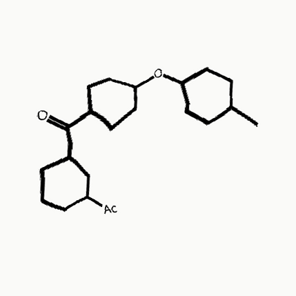 CC(=O)C1CCCC(C(=O)C2CCC(OC3CCC(C)CC3)CC2)C1